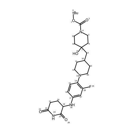 CC(C)(C)OC(=O)N1CCC(O)(CC2CCN(c3ccc(NC4CCC(=O)NC4=O)cc3F)CC2)CC1